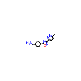 Cc1ccc(-c2noc([C@H]3CC[C@H](CN)CC3)n2)nn1